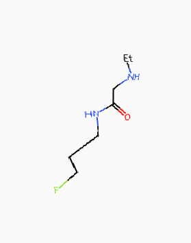 CCNCC(=O)NCCCF